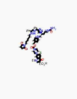 CCn1cc(C(=O)O)c(=O)c2cc(F)c(N3CCN(C(=O)OCc4ccc(NC[C@H](CCCNC(N)=O)n5cc([C@@H](NC[C@@H](NCCCCCCN6C(=O)CCC6=O)C(C)C)C(C)C)nn5)cc4)CC3)cc21